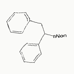 CCCCCCCCCC(Cc1ccccc1)c1ccccc1